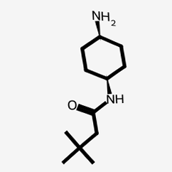 CC(C)(C)CC(=O)N[C@H]1CC[C@@H](N)CC1